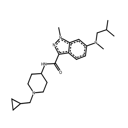 CC(C)CN(C)c1ccc2c(C(=O)NC3CCN(CC4CC4)CC3)nn(C)c2c1